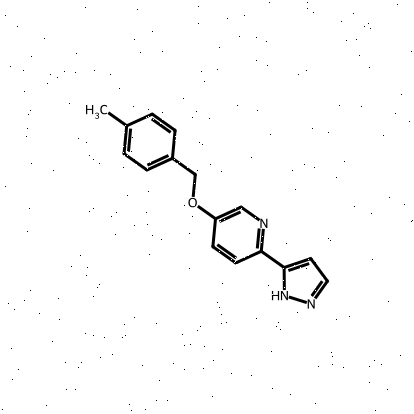 Cc1ccc(COc2ccc(-c3ccn[nH]3)nc2)cc1